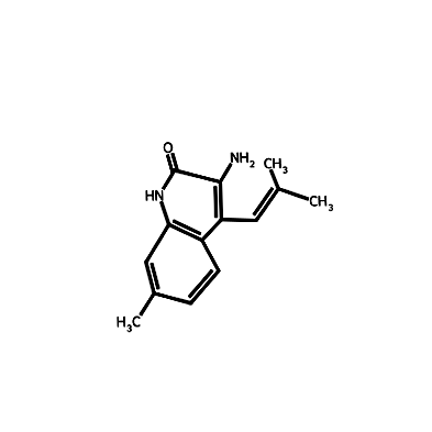 CC(C)=Cc1c(N)c(=O)[nH]c2cc(C)ccc12